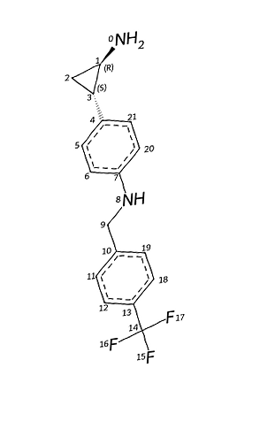 N[C@@H]1C[C@H]1c1ccc(NCc2ccc(C(F)(F)F)cc2)cc1